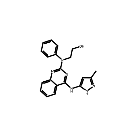 Cc1cc(Nc2nc(N(CCO)c3ccccc3)nc3ccccc23)[nH]n1